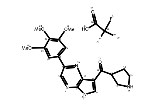 COc1cc(-c2cnc3[nH]cc(C(=O)C4CCNC4)c3n2)cc(OC)c1OC.O=C(O)C(F)(F)F